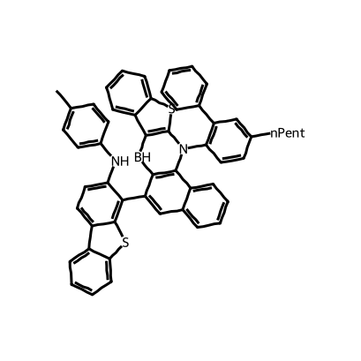 CCCCCc1ccc(N2c3sc4ccccc4c3Bc3c(-c4c(Nc5ccc(C)cc5)ccc5c4sc4ccccc45)cc4ccccc4c32)c(-c2ccccc2)c1